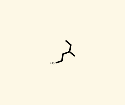 CCC(C)C[CH2][SnH]